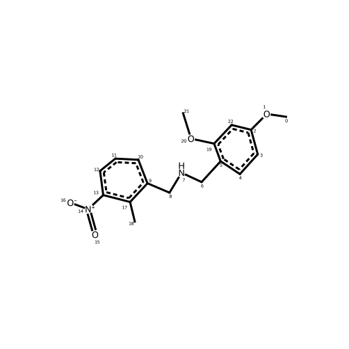 COc1ccc(CNCc2cccc([N+](=O)[O-])c2C)c(OC)c1